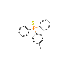 Cc1ccc(P(=S)(c2ccccc2)c2ccccc2)cc1